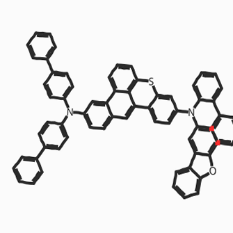 c1ccc(-c2ccc(N(c3ccc(-c4ccccc4)cc3)c3ccc4cc5c6c(cccc6c4c3)Sc3cc(N(c4ccc6oc7ccccc7c6c4)c4ccccc4-c4ccccc4)ccc3-5)cc2)cc1